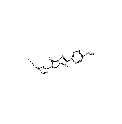 CNc1ccc(-c2nc3n(n2)C(=O)N(c2ccn(CCF)n2)C3)cn1